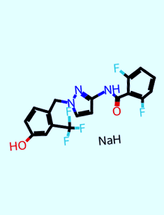 O=C(Nc1ccn(Cc2ccc(O)cc2C(F)(F)F)n1)c1c(F)cccc1F.[NaH]